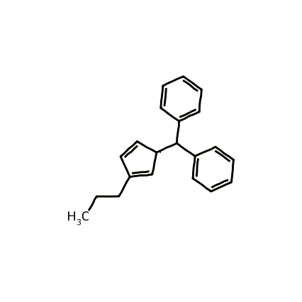 CCCC1=C[C](C(c2ccccc2)c2ccccc2)C=C1